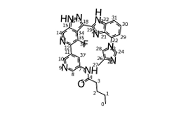 CCCCC(=O)Nc1cncc(-c2ncc3[nH]nc(-c4nc5c(-n6cnc(C)c6)cccc5[nH]4)c3c2F)c1